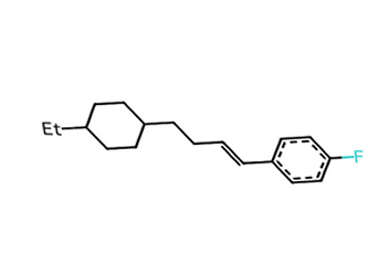 CCC1CCC(CCC=Cc2ccc(F)cc2)CC1